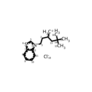 CC(CC[n+]1csc2ccccc21)CC(C)(C)C.[Cl-]